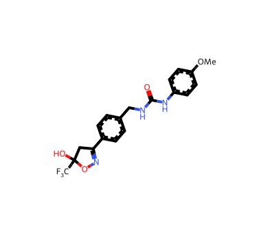 COc1ccc(NC(=O)NCc2ccc(C3=NOC(O)(C(F)(F)F)C3)cc2)cc1